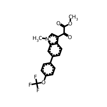 COC(=O)C(=O)c1cn(C)c2cc(-c3ccc(OC(F)(F)F)cc3)ccc12